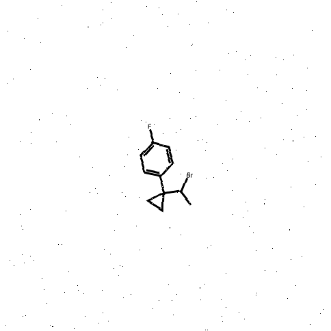 CC(Br)C1(c2ccc(F)cc2)CC1